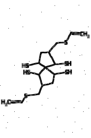 C=CSCC1CC(S)C2(C(S)CC(CSC=C)C2S)C1S